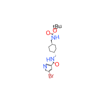 CC(C)(C)OC(=O)NC[C@H]1CC[C@H](CNC(=O)c2cncc(Br)c2)CC1